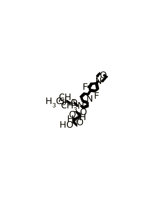 C[Si](C)(C)CCOCn1c(O[C@@H]2CO[C@H]3[C@@H]2OC[C@H]3O)cc2nc(-c3c(F)cc(N4CCOCC4)cc3F)ccc21